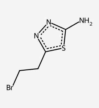 Nc1nnc(CCBr)s1